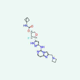 O=C(NC12CC(C1)C2)O[C@@H]1CO[C@H](c2cc(Nc3nccc4nc(CN5CCC5)cn34)n[nH]2)[C@@H]1F